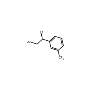 CC[C@H](CC(C)=O)c1cccc(C(F)(F)F)c1